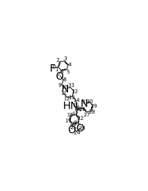 Fc1ccccc1OCCN1CCC(CN[C@H](c2ccc3c(c2)OCO3)c2ccccn2)CC1